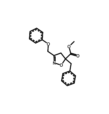 COC(=O)C1(Cc2ccccc2)CC(COc2ccccc2)=NO1